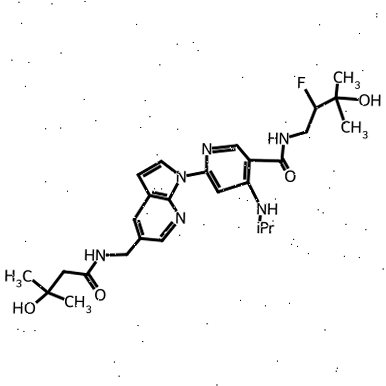 CC(C)Nc1cc(-n2ccc3cc(CNC(=O)CC(C)(C)O)cnc32)ncc1C(=O)NCC(F)C(C)(C)O